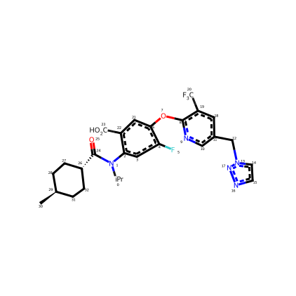 CC(C)N(c1cc(F)c(Oc2ncc(Cn3ccnn3)cc2C(F)(F)F)cc1C(=O)O)C(=O)[C@H]1CC[C@H](C)CC1